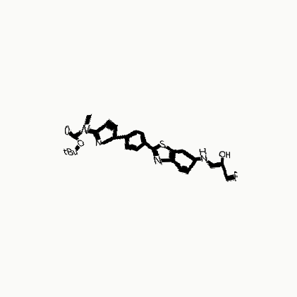 CN(C(=O)OC(C)(C)C)c1ccc(-c2ccc(-c3nc4ccc(NCC(O)CF)cc4s3)cc2)cn1